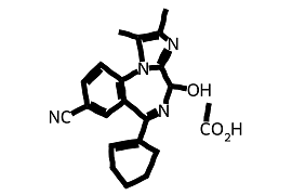 CC(=O)O.Cc1nc2n(c1C)-c1ccc(C#N)cc1C(C1=CCCCC1)=NC2O